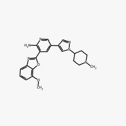 COc1cccc2nc(-c3cc(-c4cnn(C5CCN(C)CC5)c4)cnc3N)oc12